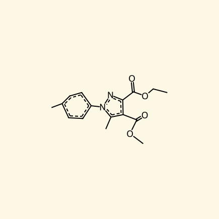 CCOC(=O)c1nn(-c2ccc(C)cc2)c(C)c1C(=O)OC